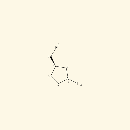 FC[C@@H]1CCN(I)C1